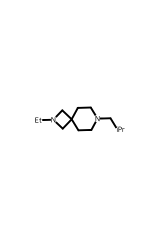 CCN1CC2(CCN(CC(C)C)CC2)C1